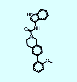 COc1ccccc1-c1ccc2c(c1)CCN(C(=O)Nc1c[nH]c3ccccc13)C2